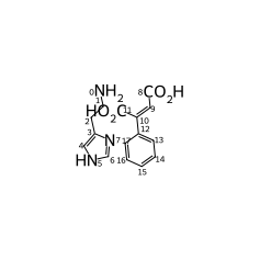 NCCc1c[nH]cn1.O=C(O)/C=C(\C(=O)O)c1ccccc1